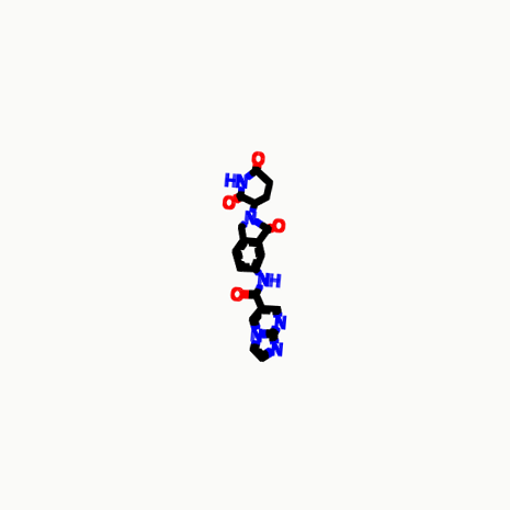 O=C1CCC(N2Cc3ccc(NC(=O)c4cnc5nccn5c4)cc3C2=O)C(=O)N1